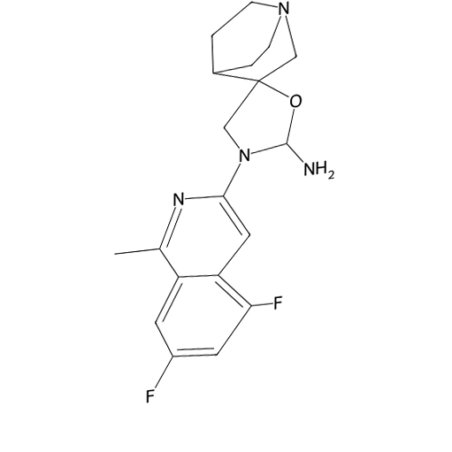 Cc1nc(N2CC3(CN4CCC3CC4)OC2N)cc2c(F)cc(F)cc12